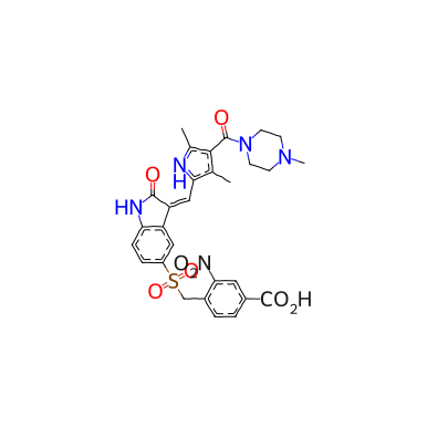 Cc1[nH]c(/C=C2\C(=O)Nc3ccc(S(=O)(=O)Cc4ccc(C(=O)O)cc4[N+](=O)[O-])cc32)c(C)c1C(=O)N1CCN(C)CC1